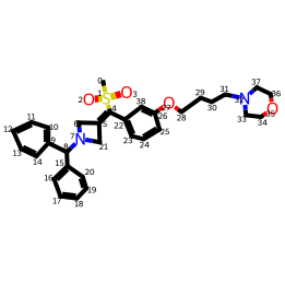 CS(=O)(=O)C(=C1CN(C(c2ccccc2)c2ccccc2)C1)c1cccc(OCCCCN2CCOCC2)c1